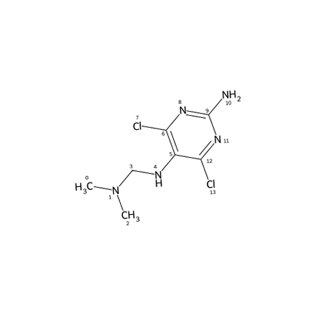 CN(C)CNc1c(Cl)nc(N)nc1Cl